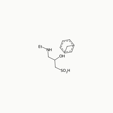 CCNCC(O)CS(=O)(=O)O.c1cc2cc(c1)C2